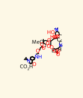 CC[C@H]1OC(=O)[C@H](C)[C@@H](O[C@H]2C[C@@](C)(OC)[C@@H](OC(=O)CCOCCNc3ccc4c(c3)c(=O)c(C(=O)O)cn4C3CC3)[C@H](C)O2)[C@H](C)[C@@H](O[C@@H]2O[C@H](C)C[C@H](N(C)C)[C@H]2O)[C@](C)(O)C[C@@H](C)CN(C)[C@H](C)[C@@H]2OC(=O)O[C@]12C